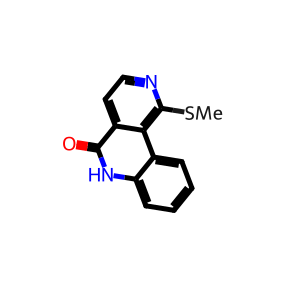 CSc1nccc2c(=O)[nH]c3ccccc3c12